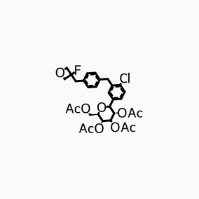 CC(=O)OC[C@H]1OC(c2ccc(Cl)c(Cc3ccc(CC4(F)COC4)cc3)c2)[C@H](OC(C)=O)C(OC(C)=O)[C@@H]1OC(C)=O